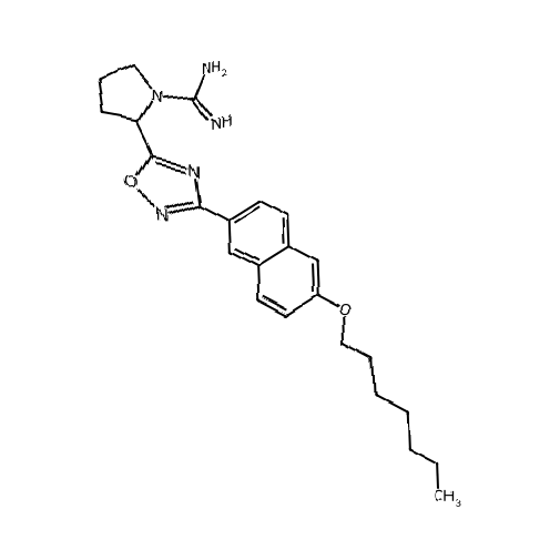 CCCCCCCOc1ccc2cc(-c3noc(C4CCCN4C(=N)N)n3)ccc2c1